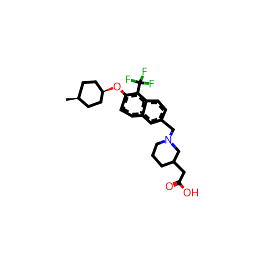 C[C@H]1CC[C@@H](Oc2ccc3cc(CN4CCCC(CC(=O)O)C4)ccc3c2C(F)(F)F)CC1